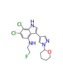 FCCNc1cc(Cl)c(Cl)c2[nH]cc(-c3cnn(C4CCCCO4)c3)c12